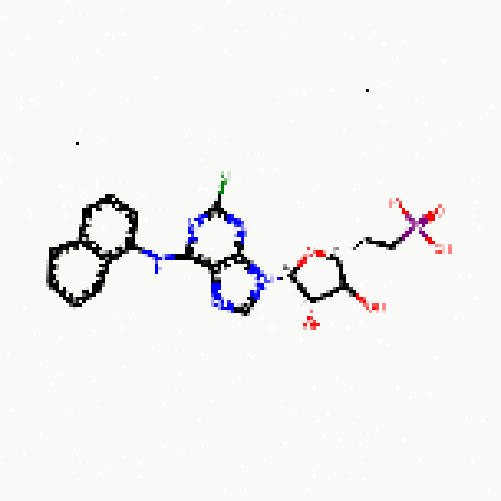 O=P(O)(O)CC[C@H]1O[C@@H](n2cnc3c(Nc4cccc5ccccc45)nc(Cl)nc32)[C@@H](O)C1O